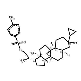 Cc1ccc(S(=O)(=O)OCC(C)[C@H]2CC[C@H]3[C@@H]4CC[C@@H]5C[C@@](O)(C6CC6)CC[C@@H]5[C@H]4CC[C@]23C)cc1